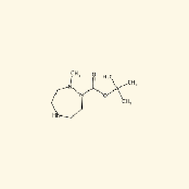 CN1CCNCCN1C(=O)OC(C)(C)C